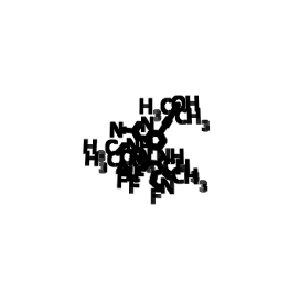 CC1N=C(F)C=CC1(C)[C@H](Nc1cc(C#CC(C)(C)O)c2ncc(C#N)c(NCC(C)(C)C)c2c1)c1cn(C2(C(F)(F)F)CC2)nn1